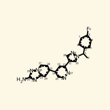 CC(c1ccc(F)cc1)n1cc(-c2cc(-c3ccn4nc(N)nc4c3)cnn2)cn1